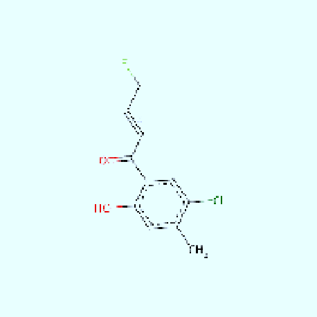 Cc1cc(O)c(C(=O)/C=C/CF)cc1Cl